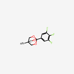 CCCC12COC(c3cc(F)c(F)c(F)c3)(OC1)OC2